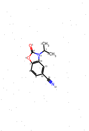 CC(C)n1c(=O)oc2ccc(C#N)cc21